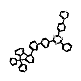 c1ccc(-c2nc(-c3ccc(-c4ccncc4)cc3)nc(-c3ccc(-c4cccc(-c5cccc6c5-c5ccccc5C6(c5ccccc5)c5ccccc5)c4)cc3)n2)cc1